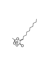 CCCCCCCCCC=C(OC(C)=O)C(=O)O